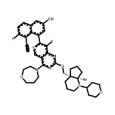 C#Cc1c(F)ccc2cc(O)cc(-c3ncc4c(N5CCCOCC5)nc(OC[C@]56CCC[C@H]5N(C5CCOCC5)CCC6)nc4c3F)c12